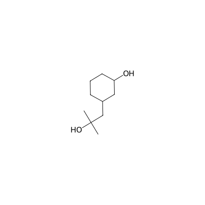 CC(C)(O)CC1CCCC(O)C1